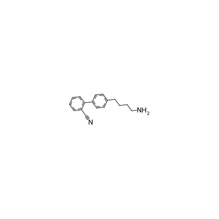 N#Cc1ccccc1-c1ccc(CCCCN)cc1